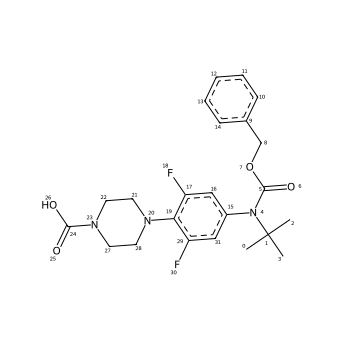 CC(C)(C)N(C(=O)OCc1ccccc1)c1cc(F)c(N2CCN(C(=O)O)CC2)c(F)c1